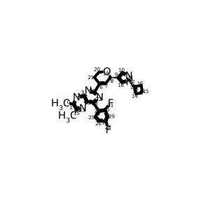 Cc1nc2nc(C3=C[C@H](c4cnn(C56CC(C5)C6)c4)OCC3)nc(-c3ccc(F)cc3F)c2nc1C